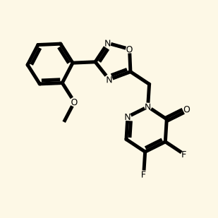 COc1ccccc1-c1noc(Cn2ncc(F)c(F)c2=O)n1